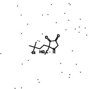 CCC(C)(C)CCC1(C(=O)O)NCC(=O)C1=O